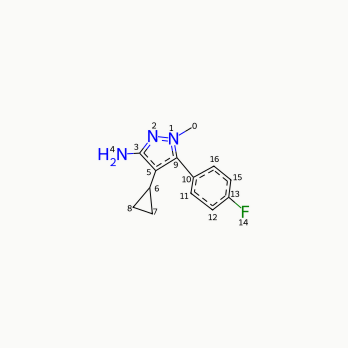 Cn1nc(N)c(C2CC2)c1-c1ccc(F)cc1